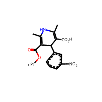 CCCOC(=O)C1=C(C)NC(C)=C(C(=O)O)C1c1cccc([N+](=O)[O-])c1